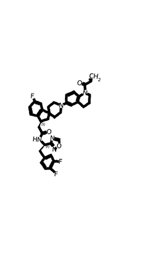 C=CC(=O)N1CCCc2cc(N3CCC4(CC3)C[C@@H](CC(=O)N[C@H](Cc3ccc(F)c(F)c3)c3ncon3)c3ccc(F)cc34)ccc21